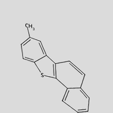 Cc1ccc2sc3c4ccccc4ccc3c2c1